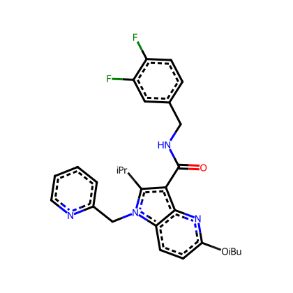 CC(C)COc1ccc2c(n1)c(C(=O)NCc1ccc(F)c(F)c1)c(C(C)C)n2Cc1ccccn1